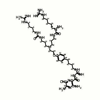 N=C(N)NCCCCNC(=O)NCCCN(CCCNC(=O)N(N)SCCCCNC(=N)N)CCOc1ccc(CCCCNC(=N)NC(=O)c2nc(Cl)c(N)nc2N)cc1